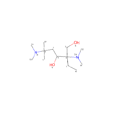 CCC(CO)(C(O)CC(C)(C)N(C)C)N(C)C